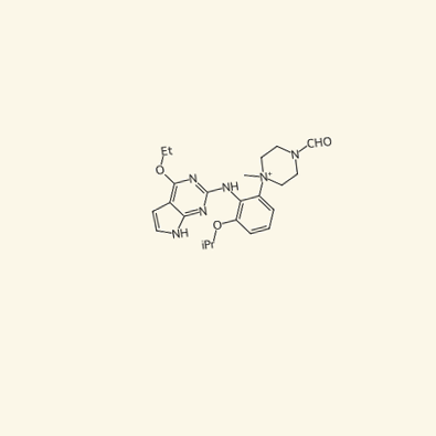 CCOc1nc(Nc2c(OC(C)C)cccc2[N+]2(C)CCN(C=O)CC2)nc2[nH]ccc12